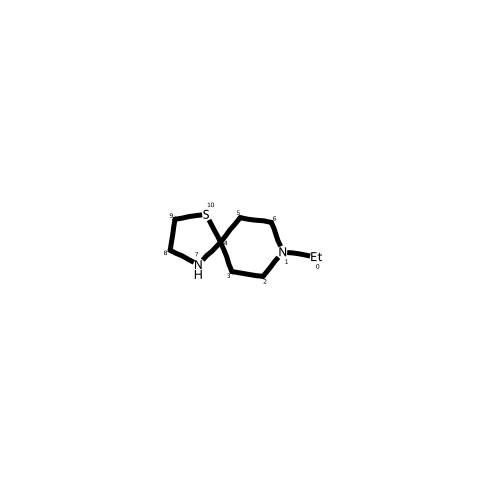 CCN1CCC2(CC1)NCCS2